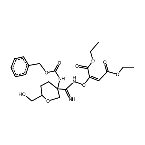 CCOC(=O)C=C(ONC(=N)C1(NC(=O)OCc2ccccc2)CCC(CO)OC1)C(=O)OCC